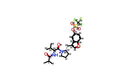 CC(C)C(=O)N[C@H](C(=O)N1CCC[C@H]1Cc1coc2ccc(OS(=O)(=O)C(F)(F)F)cc12)C(C)C